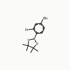 CCc1cc(C(C)(C)C)ccc1B1OC(C)(C)C(C)(C)O1